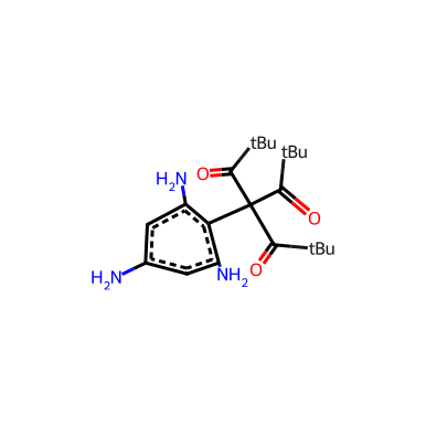 CC(C)(C)C(=O)C(C(=O)C(C)(C)C)(C(=O)C(C)(C)C)c1c(N)cc(N)cc1N